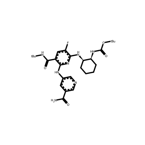 CC(C)(C)NC(=O)c1cc(F)c(N[C@@H]2CCCC[C@@H]2NC(=O)OC(C)(C)C)nc1Nc1cncc(C(N)=O)c1